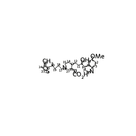 COc1ccc2nccc([C@H](O)CC[C@@H]3CCN(CCCCc4sccc4C)C[C@@H]3CC(=O)O)c2c1